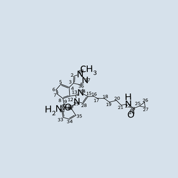 Cn1cc(-c2cccc(C(N)=O)c2-c2nc(CCCCCCNC(=O)C3CC3)cn2-c2ccccc2)cn1